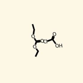 CCOC(=O)OCC.O=C(O)Cl